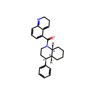 O=C(c1cccc2c1=CCCN=2)N1CC[C@H](c2ccccc2)[C@H]2CCCC[C@H]21